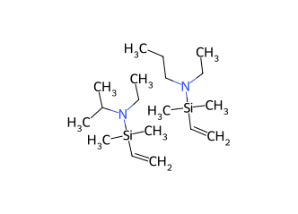 C=C[Si](C)(C)N(CC)C(C)C.C=C[Si](C)(C)N(CC)CCC